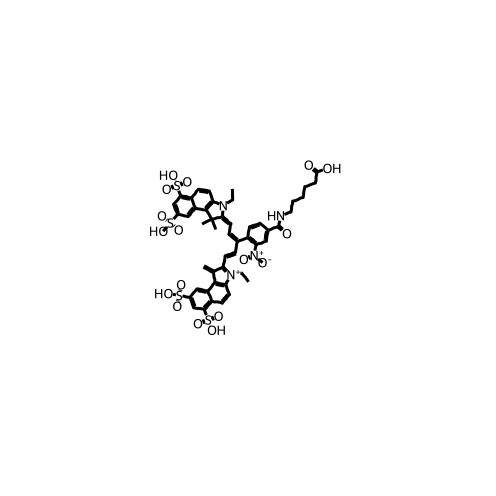 C=C1C(/C=C/C(=C/C=C2/N(CC)c3ccc4c(S(=O)(=O)O)cc(S(=O)(=O)O)cc4c3C2(C)C)c2ccc(C(=O)NCCCCCC(=O)O)cc2[N+](=O)[O-])=[N+](CC)c2ccc3c(S(=O)(=O)O)cc(S(=O)(=O)O)cc3c21